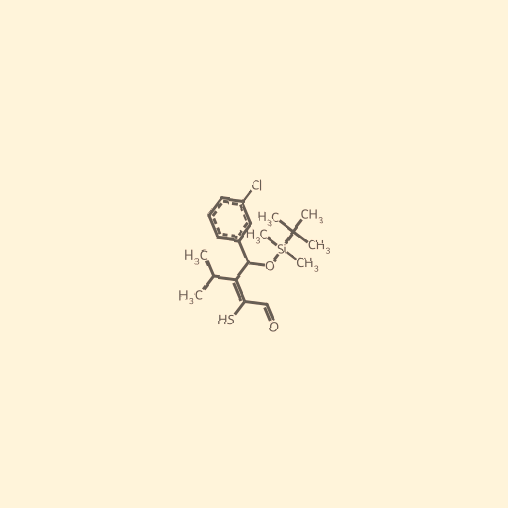 CC(C)/C(=C(\S)C=O)C(O[Si](C)(C)C(C)(C)C)c1cccc(Cl)c1